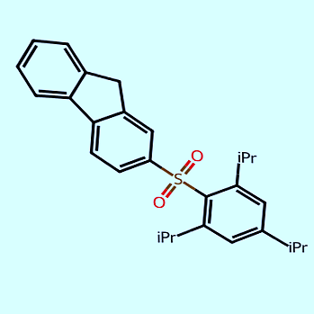 CC(C)c1cc(C(C)C)c(S(=O)(=O)c2ccc3c(c2)Cc2ccccc2-3)c(C(C)C)c1